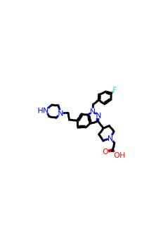 O=C(O)CN1CCC(c2nn(Cc3ccc(F)cc3)c3cc(CCN4CCNCC4)ccc23)CC1